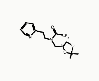 CC1(C)OC[C@H](CN(CCc2ccccn2)C(=O)C(F)(F)F)O1